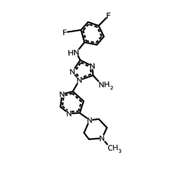 CN1CCN(c2cc(-n3nc(Nc4ccc(F)cc4F)nc3N)ncn2)CC1